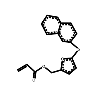 C=CC(=O)OCc1ccc(Sc2ccc3ccccc3c2)o1